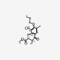 CCCOc1c(C)cc(C(=O)C(C)CC(=O)OC)c(F)c1Cl